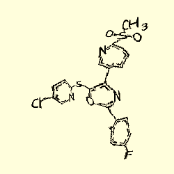 CS(=O)(=O)c1ccc(-c2nc(-c3ccc(F)cc3)oc2Sc2ccc(Cl)cn2)cn1